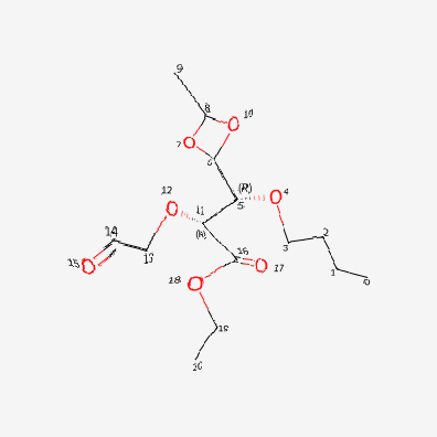 CCCCO[C@@H](C1OC(C)O1)[C@@H](OCC=O)C(=O)OCC